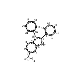 Cc1ccc2c(c1)nc(-c1ccccc1)n2-c1ccccc1